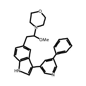 COC(Cc1ccc2[nH]cc(-c3cncc(-c4ccccc4)c3)c2c1)N1CCOCC1